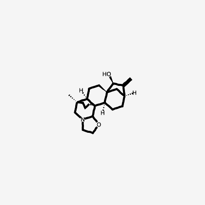 C=C1[C@H]2CC[C@@H]3[C@@](CC[C@@H]4[C@@]5(C)CCC[C@]43C3OCCN3C5)(C2)[C@H]1O